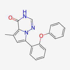 Cc1cc(-c2ccccc2Oc2ccccc2)n2nc[nH]c(=O)c12